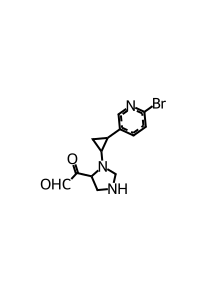 O=CC(=O)C1CNCN1C1CC1c1ccc(Br)nc1